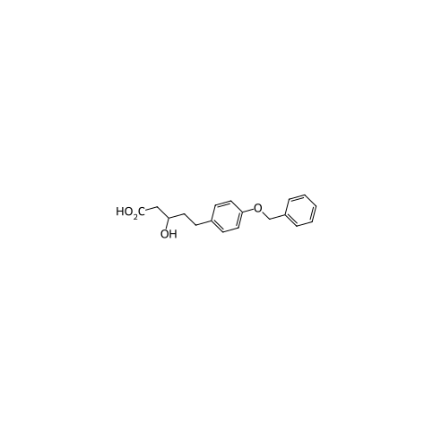 O=C(O)CC(O)CCc1ccc(OCc2ccccc2)cc1